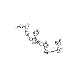 CC1(C)CCC(CN2CCN(c3ccc(C(=O)NS(=O)(=O)c4ccc(NCc5cn(CCCNc6cccc7c6CN(C6CCC(=O)NC6=O)C7=O)nn5)c([N+](=O)[O-])c4)c(Oc4cnc5[nH]ccc5c4)c3)CC2)=C(c2ccc(Cl)cc2)C1